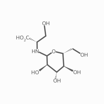 O=C(O)[C@H](CO)NC1O[C@H](CO)[C@@H](O)[C@H](O)[C@H]1O